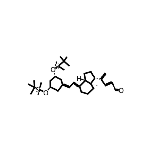 C=C(/C=C/C=O)[C@H]1CC[C@H]2/C(=C/C=C3C[C@@H](O[Si](C)(C)C(C)(C)C)C[C@H](O[Si](C)(C)C(C)(C)C)C3)CCC[C@]12C